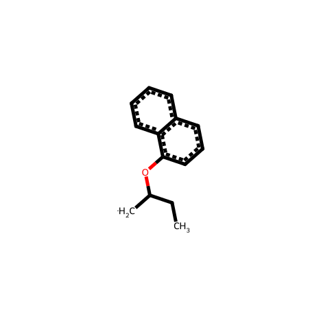 [CH2]C(CC)Oc1cccc2ccccc12